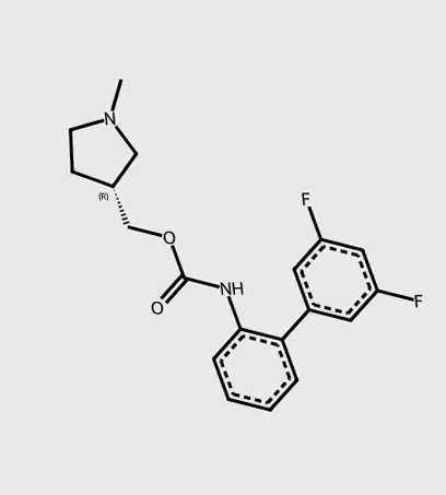 CN1CC[C@@H](COC(=O)Nc2ccccc2-c2cc(F)cc(F)c2)C1